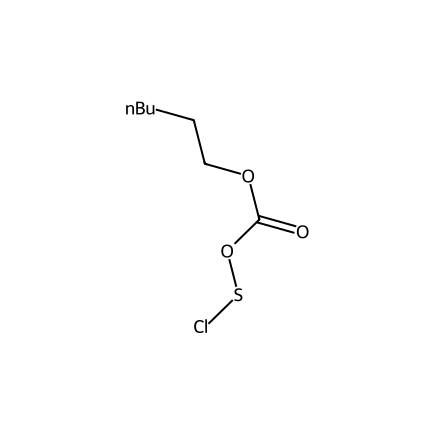 CCCCCCOC(=O)OSCl